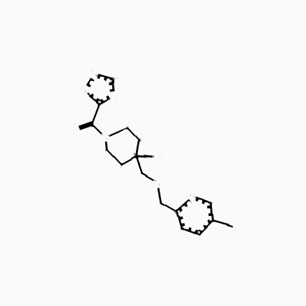 Cc1ccc(CNCC2(F)CCN(C(=O)c3nnco3)CC2)nc1